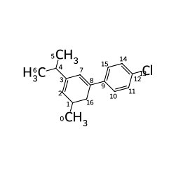 CC1C=C(C(C)C)C=C(c2ccc(Cl)cc2)C1